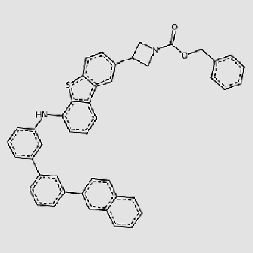 O=C(OCc1ccccc1)N1CC(c2ccc3sc4c(Nc5cccc(-c6cccc(-c7ccc8ccccc8c7)c6)c5)cccc4c3c2)C1